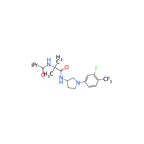 CC(C)C(=O)NC(C)(C)C(=O)NC1CCN(c2ccc(C(F)(F)F)c(F)c2)C1